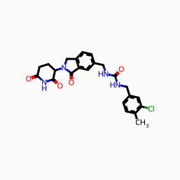 Cc1ccc(CNC(=O)NCc2ccc3c(c2)C(=O)N(C2CCC(=O)NC2=O)C3)cc1Cl